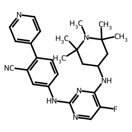 CN1C(C)(C)CC(Nc2nc(Nc3ccc(-c4ccncc4)c(C#N)c3)ncc2F)CC1(C)C